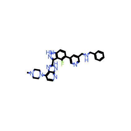 CN1CCN(c2ccnc3[nH]c(-c4n[nH]c5ccc(-c6cncc(CNCc7ccccc7)c6)c(F)c45)nc23)CC1